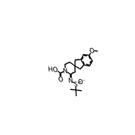 COc1ccc2c(c1)CC1(CCN(C(=O)O)C(=N[S+]([O-])C(C)(C)C)C1)C2